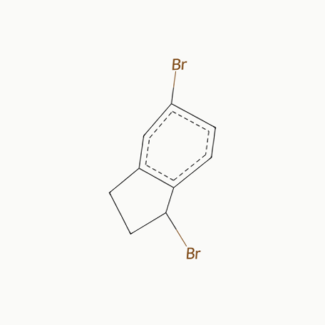 Brc1ccc2c(c1)CCC2Br